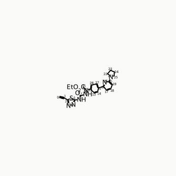 C#Cc1nnc(NC(=O)NN(C(=O)OCC)c2ccc(-c3cccc(N4CCCC4)n3)cc2)s1